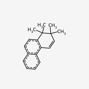 CC1(C)C=Cc2c(ccc3ccccc23)C1(C)C